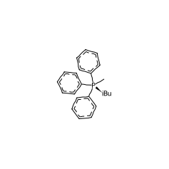 CC[C@H](C)P(C)(c1ccccc1)(c1ccccc1)c1ccccc1